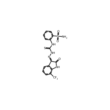 NS(=O)(=O)c1ccccc1NC(=S)NN=C1C(=O)Nc2c1cccc2C(F)(F)F